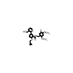 COc1cc(OC)c(CNC(=O)c2cc(-c3ncccc3CO)ccc2OCC2CC2)cc1F